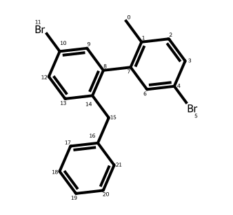 Cc1ccc(Br)cc1-c1cc(Br)ccc1Cc1ccccc1